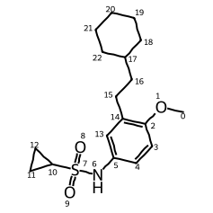 COc1ccc(NS(=O)(=O)C2CC2)cc1CCC1CCCCC1